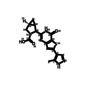 Cc1[nH]ncc1-c1cc2nc(C3C4C[C@@H]4CN3C(=O)O)[nH]c(=O)c2s1